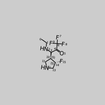 CCNC(C(=O)C(F)(F)F)[C@@H]1CNC[C@H]1F